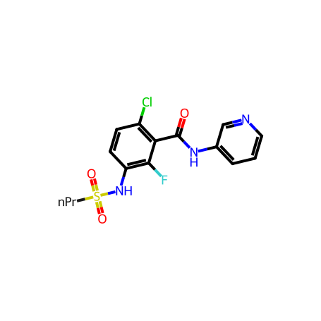 CCCS(=O)(=O)Nc1ccc(Cl)c(C(=O)Nc2cccnc2)c1F